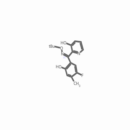 Cc1cc(O)c(/C(=N/OC(C)(C)C)c2ncccc2O)cc1F